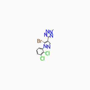 Cn1nnc(-c2cnn(-c3cccc(Cl)c3Cl)c2Br)n1